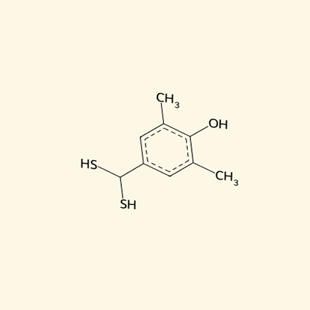 Cc1cc(C(S)S)cc(C)c1O